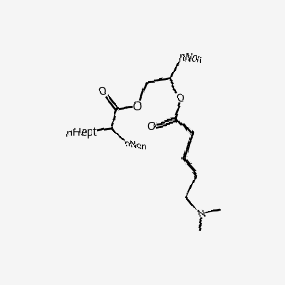 CCCCCCCCCC(COC(=O)C(CCCCCCC)CCCCCCCCC)OC(=O)CCCCN(C)C